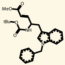 COC(=O)C=CC(Cc1cn(Cc2ccccc2)c2ccccc12)NC(=O)OC(C)(C)C